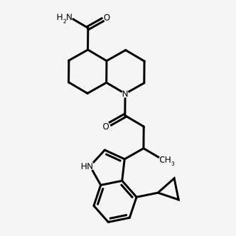 CC(CC(=O)N1CCCC2C(C(N)=O)CCCC21)c1c[nH]c2cccc(C3CC3)c12